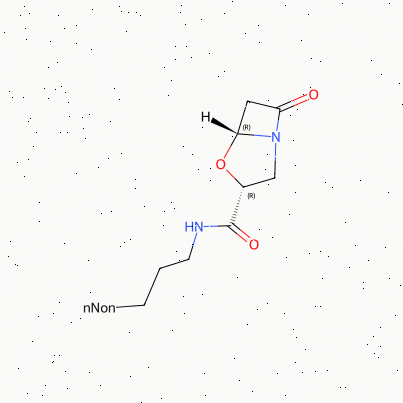 CCCCCCCCCCCCNC(=O)[C@H]1CN2C(=O)C[C@H]2O1